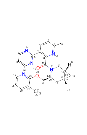 Cc1ccc(-c2ncccn2)c(C(=O)N2C[C@@H]3C[C@@H]3C[C@H]2COc2ncccc2C(F)(F)F)n1